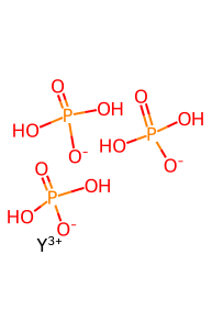 O=P([O-])(O)O.O=P([O-])(O)O.O=P([O-])(O)O.[Y+3]